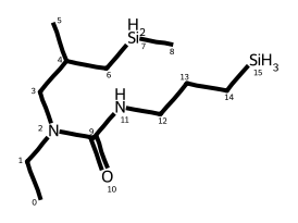 CCN(CC(C)C[SiH2]C)C(=O)NCCC[SiH3]